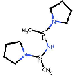 C[SiH](N[SiH](C)N1CCCC1)N1CCCC1